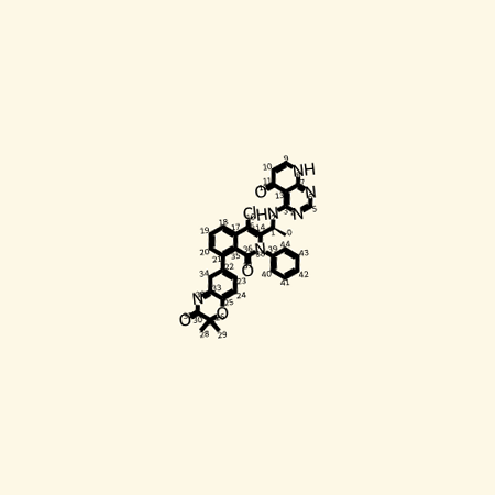 C[C@H](Nc1ncnc2[nH]ccc(=O)c12)c1c(Cl)c2cccc(C3=CC=C4OC(C)(C)C(=O)N=C4C3)c2c(=O)n1-c1ccccc1